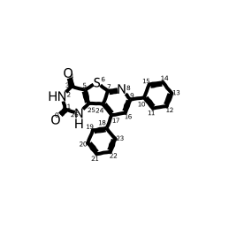 O=c1[nH]c(=O)c2sc3nc(-c4ccccc4)cc(-c4ccccc4)c3c2[nH]1